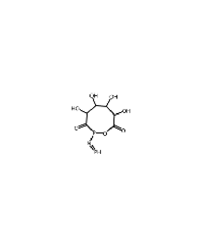 O=C1OP(N=P)C(=O)C(O)C(O)C(O)C1O